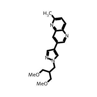 COCC(COC)Cn1cc(-c2cnc3ccc(C)nc3c2)cn1